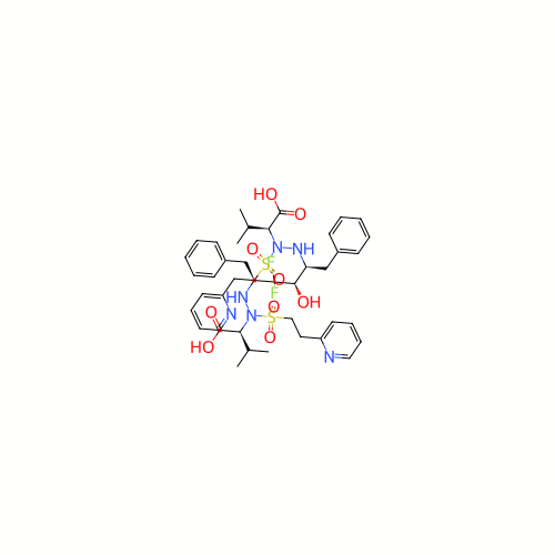 CC(C)[C@@H](C(=O)O)N(N[C@@H](Cc1ccccc1)[C@@H](O)C(F)(F)[C@H](Cc1ccccc1)NN([C@H](C(=O)O)C(C)C)S(=O)(=O)CCc1ccccn1)S(=O)(=O)CCc1ccccn1